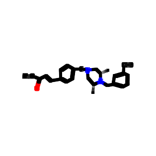 COC(=O)C=Cc1ccc(CN2C[C@@H](C)N(Cc3cccc(C=O)c3)[C@@H](C)C2)cc1